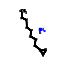 CCCCCCCCC1CC1.N